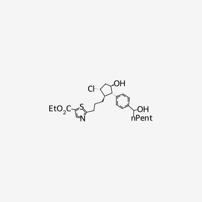 CCCCCC(O)c1ccc([C@@H]2[C@@H](CCCc3ncc(C(=O)OCC)s3)[C@H](Cl)C[C@H]2O)cc1